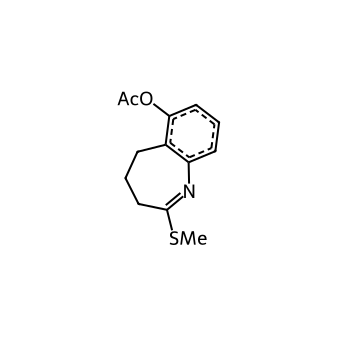 CSC1=Nc2cccc(OC(C)=O)c2CCC1